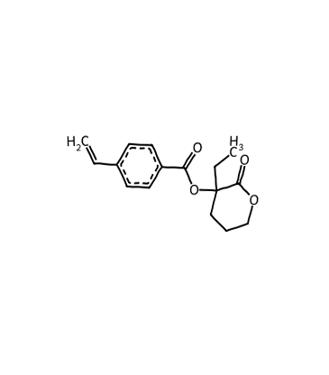 C=Cc1ccc(C(=O)OC2(CC)CCCOC2=O)cc1